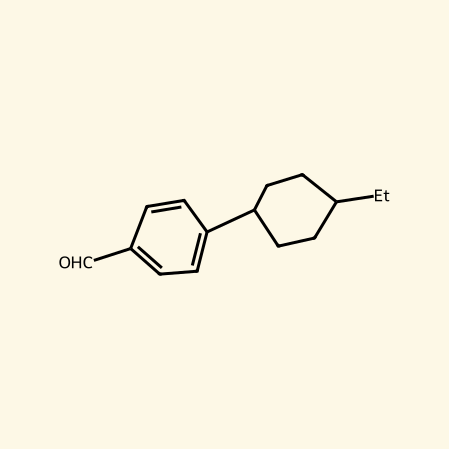 CCC1CCC(c2ccc(C=O)cc2)CC1